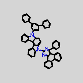 c1ccc(-c2cc(-c3ccccc3)cc(-n3c4ccccc4c4c5c6ccccc6n(-c6nc(-c7ccccc7)c7c8ccccc8c8ccccc8c7n6)c5ccc43)c2)cc1